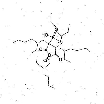 CCCCC(CC)COC(=O)C(CC(CC)CCCC)C(CC(CC)CCCC)(C(=O)OCl)P(=O)(O)OCC(CC)CCCC